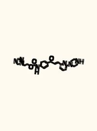 O=C(Nc1ccc(C(=O)C=Cc2cccc(N3CCNCC3)n2)cc1)OCCn1cncn1